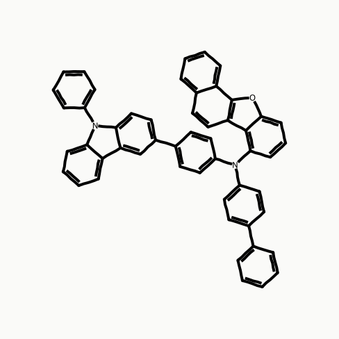 c1ccc(-c2ccc(N(c3ccc(-c4ccc5c(c4)c4ccccc4n5-c4ccccc4)cc3)c3cccc4oc5c6ccccc6ccc5c34)cc2)cc1